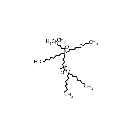 CCCCCCCCCCN(C(=O)CCCN(C)C)C(CCCCCCCCC)CCCCC(F)(F)C(=O)OC(CCCCCCCC)CCCCCCCC